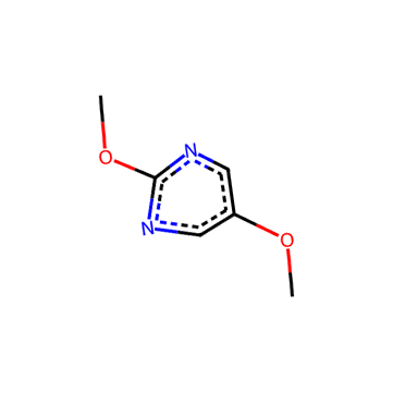 COc1cnc(OC)nc1